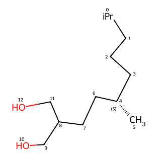 CC(C)CCC[C@H](C)CCC(CO)CO